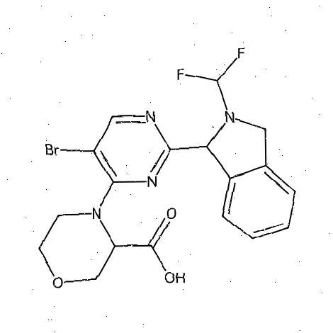 O=C(O)C1COCCN1c1nc(C2c3ccccc3CN2C(F)F)ncc1Br